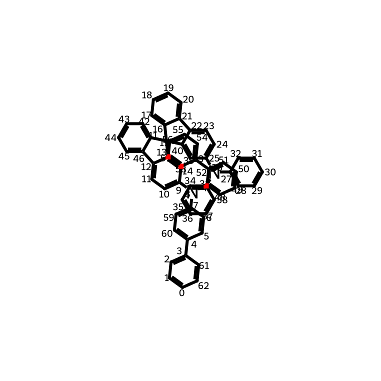 c1ccc(-c2ccc(N(c3ccc4c(c3)C3(c5ccccc5-c5ccc(N(c6ccccc6)c6ccccc6)cc53)c3ccccc3-4)c3ccccc3-c3ccccc3)cc2)cc1